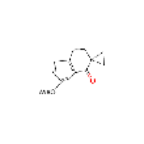 COc1ccc2c(c1)C(=O)C1(CC2)CC1